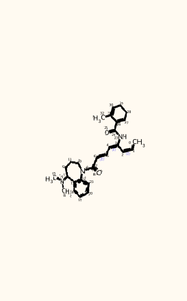 C\C=C/C(=C\C=C\C(=O)N1CCCC(N(C)C)c2ccccc21)NC(=O)C1=CCCC=C1C